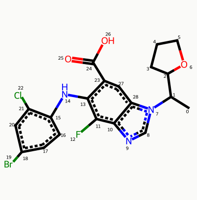 CC(C1CCCO1)n1cnc2c(F)c(Nc3ccc(Br)cc3Cl)c(C(=O)O)cc21